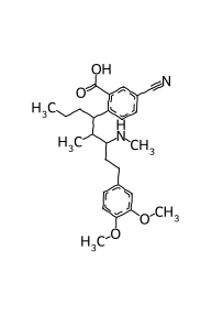 CCCC(c1ccc(C#N)cc1C(=O)O)C(C)C(CCc1ccc(OC)c(OC)c1)NC